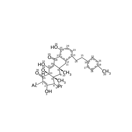 CC(=O)C1=C(O)C(C(C)C)[C@@]2(C)C[C@@]3(C)Cc4c(CCc5ccc(C)cc5)ccc(O)c4C(=O)C3=C(O)[C@@]2(O)C1=O